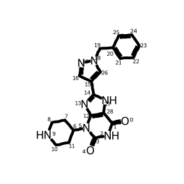 O=c1[nH]c(=O)n(C2CCNCC2)c2nc(-c3cnn(Cc4ccccc4)c3)[nH]c12